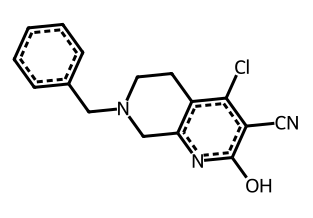 N#Cc1c(O)nc2c(c1Cl)CCN(Cc1ccccc1)C2